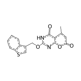 Cc1cc(=O)oc2nc(OCc3csc4ccccc34)[nH]c(=O)c12